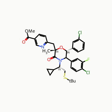 COC(=O)c1ccc(C[C@]2(C)O[C@H](c3cccc(Cl)c3)C(c3ccc(Cl)c(F)c3)N([C@H](CSC(C)(C)C)C3CC3)C2=O)nc1